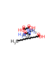 CCCCCCCCCCCCCCCCCC(=O)O.CCN(CC)CCC(N)=O.N[C@@H](CCC(=O)O)C(=O)O